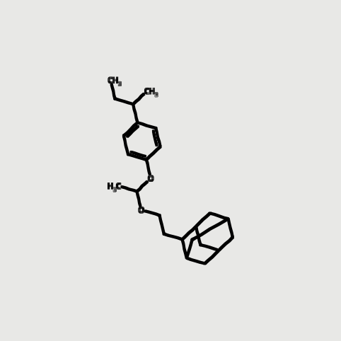 CCC(C)c1ccc(OC(C)OCCC2C3CC4CC(C3)CC2C4)cc1